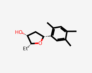 CC[C@H]1O[C@@H](c2cc(C)c(C)cc2C)C[C@H]1O